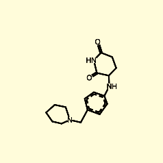 O=C1CCC(Nc2ccc(CN3CCCCC3)cc2)C(=O)N1